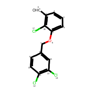 O=Cc1cccc(OCc2ccc(Cl)c(Cl)c2)c1Cl